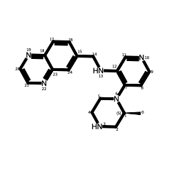 C[C@H]1CNCCN1c1ccncc1NCc1ccc2nccnc2c1